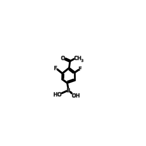 CC(=O)c1c(F)cc(B(O)O)cc1F